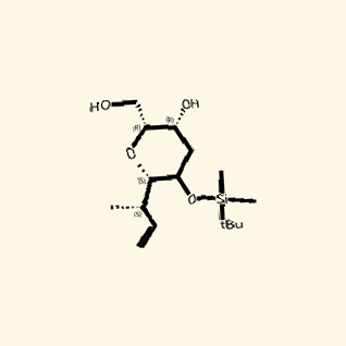 C=C[C@H](C)[C@@H]1O[C@H](CO)[C@H](O)CC1O[Si](C)(C)C(C)(C)C